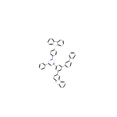 c1ccc(-c2cc(-c3cc(-c4ccc5oc6ccccc6c5c4)cc(-c4ccc5oc6ccccc6c5c4)c3)nc(-c3ccc(-n4c5ccccc5c5ccccc54)cc3)n2)cc1